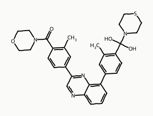 Cc1cc(-c2cnc3cccc(-c4ccc(C(O)(O)N5CCSCC5)c(C)c4)c3n2)ccc1C(=O)N1CCOCC1